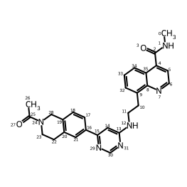 CNC(=O)c1ccnc2c(CCNc3cc(-c4ccc5c(c4)CCN(C(C)=O)C5)ncn3)cccc12